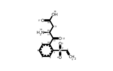 C=CS(=O)(=O)c1ccccc1C(=O)[C@@H](N)CC(=O)O